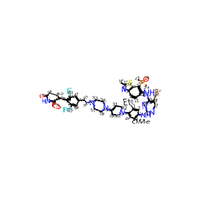 CCc1cc(Nc2ncc(Br)c(Nc3ccc4nc(C)sc4c3P(C)(C)=O)n2)c(OC)cc1N1CCC(N2CCN(CCc3cc(F)c(C4CCC(=O)NC4=O)c(F)c3)CC2)CC1